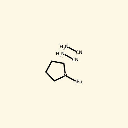 CCC(C)N1CCCC1.N#CN.N#CN